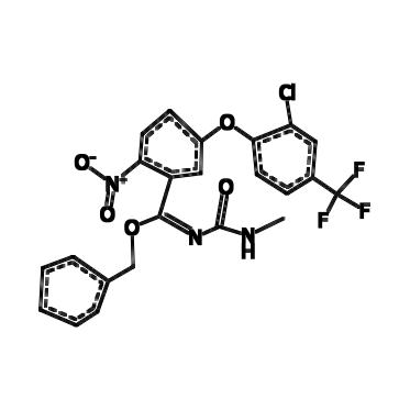 CNC(=O)N=C(OCc1ccccc1)c1cc(Oc2ccc(C(F)(F)F)cc2Cl)ccc1[N+](=O)[O-]